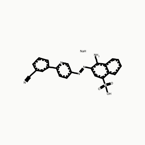 N#Cc1cccc(-c2ccc(N=Nc3cc(S(=O)(=O)O)c4ccccc4c3N)cn2)c1.[NaH]